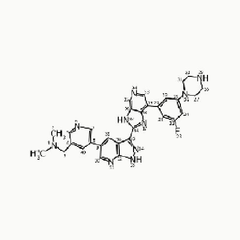 CN(C)Cc1cncc(-c2cnc3[nH]nc(-c4nc5c(-c6cc(F)cc(N7CCNCC7)c6)cncc5[nH]4)c3c2)c1